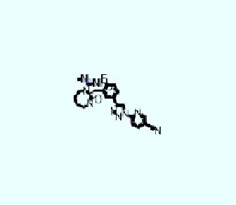 C/N=C(/N)N1CCCCN=S1(=O)Cc1cc(-c2cn(-c3ccc(C#N)cn3)nn2)ccc1F